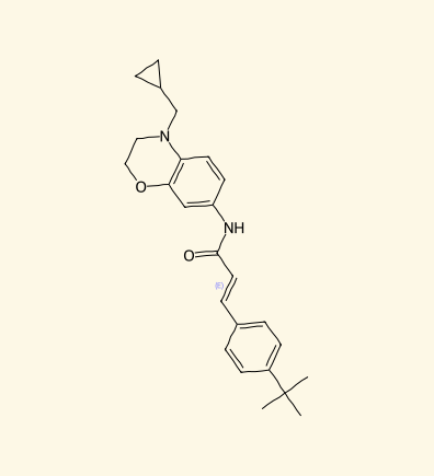 CC(C)(C)c1ccc(/C=C/C(=O)Nc2ccc3c(c2)OCCN3CC2CC2)cc1